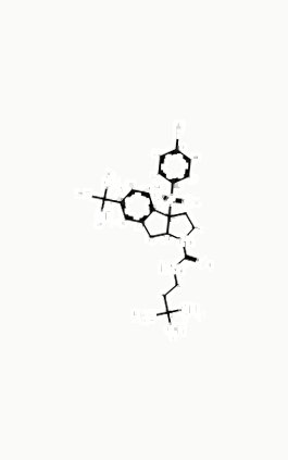 CC(C)(O)CCNC(=O)N1CCC2(S(=O)(=O)c3ccc(F)cc3)c3ccc(C(F)(C(F)(F)F)C(F)(F)F)cc3CC12